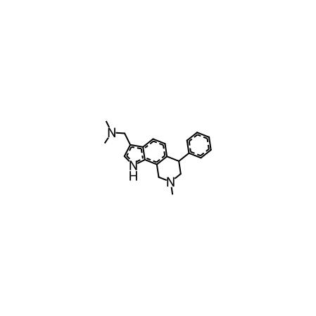 CN(C)Cc1c[nH]c2c3c(ccc12)C(c1ccccc1)CN(C)C3